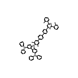 Cc1ccccc1-c1cc(-c2ccc(-c3ccc(-c4cc(C)c(-n5c6ccc(N(c7ccccc7)c7ccccc7)cc6c6cc(N(c7ccccc7)c7ccccc7)ccc65)c(C)c4)cc3)cc2)nc(-c2ccccc2C)n1